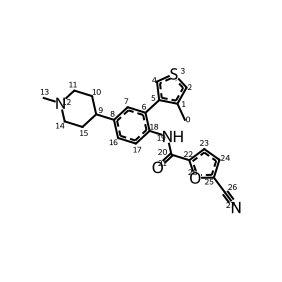 Cc1cscc1-c1cc(C2CCN(C)CC2)ccc1NC(=O)c1ccc(C#N)o1